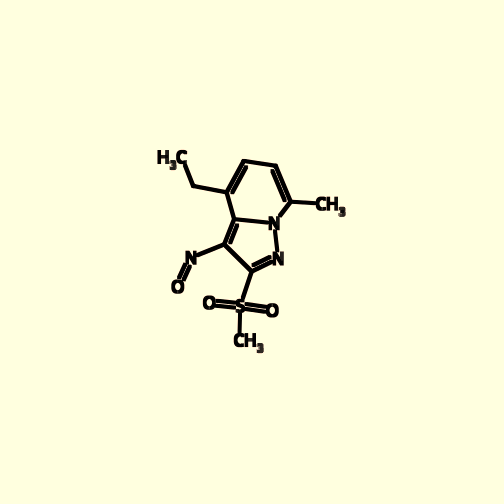 CCc1ccc(C)n2nc(S(C)(=O)=O)c(N=O)c12